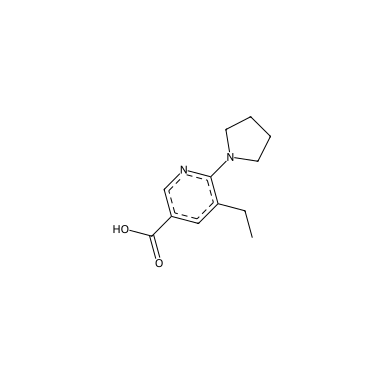 CCc1cc(C(=O)O)cnc1N1CCCC1